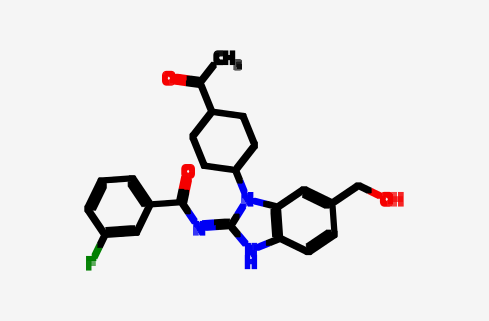 CC(=O)C1CCC(n2/c(=N\C(=O)c3cccc(F)c3)[nH]c3ccc(CO)cc32)CC1